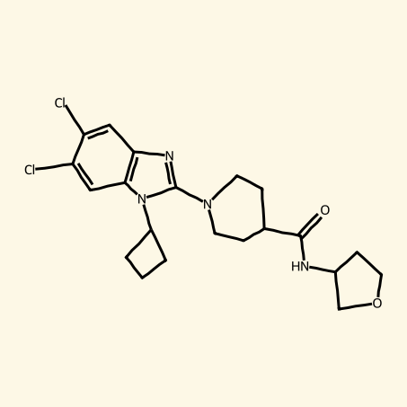 O=C(NC1CCOC1)C1CCN(c2nc3cc(Cl)c(Cl)cc3n2C2CCC2)CC1